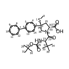 CS[C@@]1(c2ccc(-c3ccccc3)cc2)C[C@@H](C(=O)O)N(C(=O)C(NC(=O)OC(C)(C)C)C(C)(C)C)C1